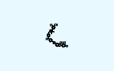 Cc1c(-c2ccc(C#N)c(Cl)c2)nn(Cc2ccc(C(=O)N3CCN(C4CN(c5ccc6c(c5)C(=O)N(C5CCC(=O)NC5=O)C6)C4)CC3)cc2)c1C